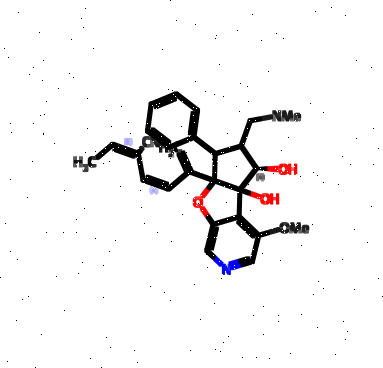 C=C(/C=C\C(C#N)=C/C)C12Oc3cncc(OC)c3C1(O)[C@H](O)C(CNC)C2c1ccccc1